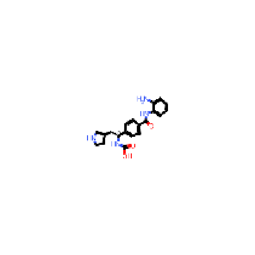 Nc1ccccc1NC(=O)c1ccc([C@H](CC2CCNC2)NC(=O)O)cc1